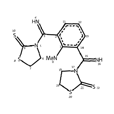 CNc1c(C(=N)N2CCSC2=S)cccc1C(=N)N1CCSC1=S